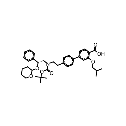 CC(C)COc1cc(-c2ccc(CCN(C[C@H](OC3CCCCO3)c3ccccc3)C(=O)OC(C)(C)C)cc2)ccc1C(=O)O